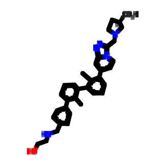 Cc1c(-c2ccc(CNCCO)cc2)cccc1-c1cccc(-c2ccn3c(CN4CC[C@@H](C(=O)O)C4)nnc3c2)c1C